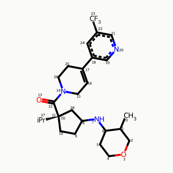 CC1COCCC1NC1CC[C@@](C(=O)N2CC=C(c3cncc(C(F)(F)F)c3)CC2)(C(C)C)C1